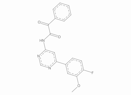 COc1cc(-c2cc(NC(=O)C(=O)c3ccccc3)ncn2)ccc1F